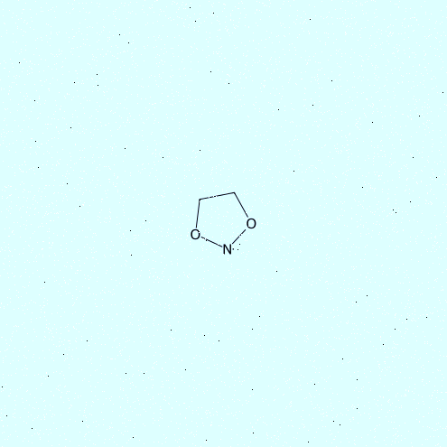 C1CO[N]O1